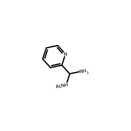 CC(=O)NC(N)c1ccccn1